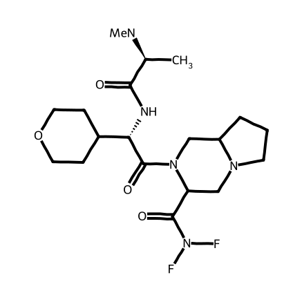 CN[C@@H](C)C(=O)N[C@H](C(=O)N1CC2CCCN2CC1C(=O)N(F)F)C1CCOCC1